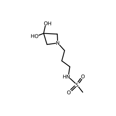 CS(=O)(=O)NCCCN1CC(O)(O)C1